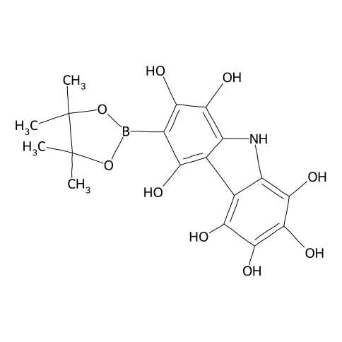 CC1(C)OB(c2c(O)c(O)c3[nH]c4c(O)c(O)c(O)c(O)c4c3c2O)OC1(C)C